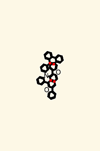 c1cc(-c2cc3ccccc3c3ccccc23)cc(N(c2ccccc2-c2cccc3c2oc2ccccc23)c2cccc3oc4ccccc4c23)c1